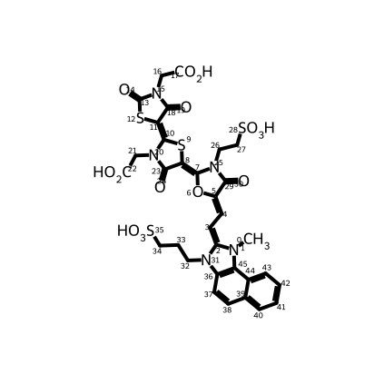 CN1C(=CC=c2o/c(=c3/s/c(=C4/SC(=O)N(CC(=O)O)C4=O)n(CC(=O)O)c3=O)n(CCS(=O)(=O)O)c2=O)N(CCCS(=O)(=O)O)c2ccc3ccccc3c21